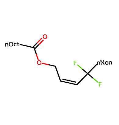 CCCCCCCCCC(F)(F)/C=C\COC(=O)CCCCCCCC